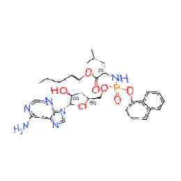 CCCCCOC(=O)[C@H](CC(C)C)NP(=O)(OC[C@@H]1C[C@H](O)C(n2cnc3c(N)ncnc32)O1)Oc1cccc2ccccc12